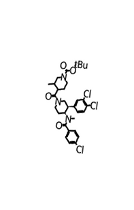 CC1CN(C(=O)OC(C)(C)C)CCC1C(=O)N1CC[C@@H](N(C)C(=O)c2ccc(Cl)cc2)[C@H](c2ccc(Cl)c(Cl)c2)C1